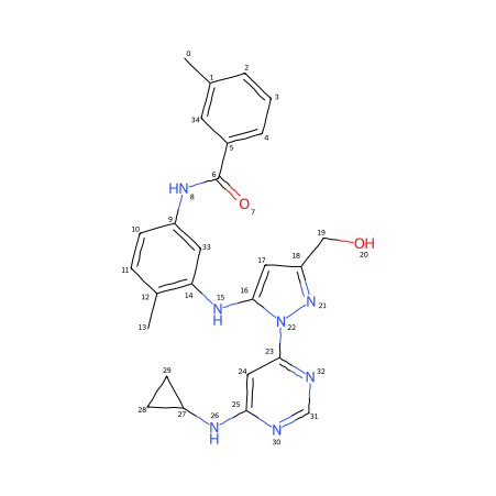 Cc1cccc(C(=O)Nc2ccc(C)c(Nc3cc(CO)nn3-c3cc(NC4CC4)ncn3)c2)c1